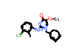 CCOc1cn(Cc2ccccc2)c(Nc2cccc(Cl)c2C)nc1=O